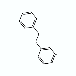 [c]1cccc(SCc2ccccc2)c1